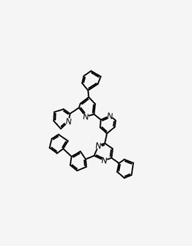 c1ccc(-c2cccc(-c3nc(-c4ccccc4)cc(-c4ccnc(-c5cc(-c6ccccc6)cc(-c6ccccn6)n5)c4)n3)c2)cc1